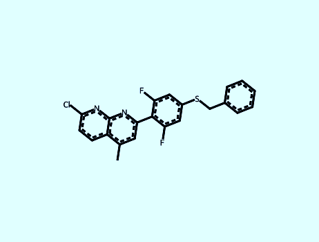 Cc1cc(-c2c(F)cc(SCc3ccccc3)cc2F)nc2nc(Cl)ccc12